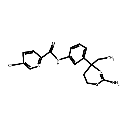 CCC1(c2cccc(NC(=O)c3ccc(Cl)cn3)c2)CCSC(N)=N1